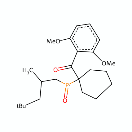 COc1cccc(OC)c1C(=O)C1([P](=O)CC(C)CC(C)(C)C)CCCCC1